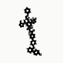 CC1CCCN1CC[C@H](CSc1ccccc1)Nc1ccc(S(=O)(=O)NC(=O)c2ccc(N3CCN(CC4=C(c5ccc(Cl)cc5)CCCC4)CC3)cc2)cc1S(=O)(=O)C(F)(F)F